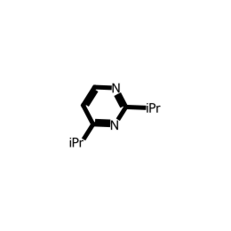 CC(C)c1ccnc(C(C)C)n1